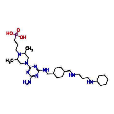 CC1CN(c2nc(N)nc(NC[C@H]3CC[C@H](CNCCCNC4CCCCC4)CC3)n2)CC(C)N1CCCP(=O)(O)O